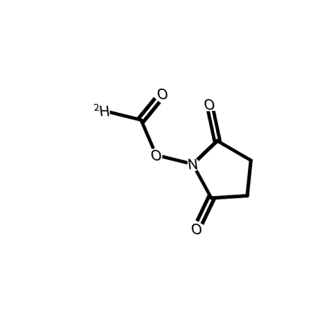 [2H]C(=O)ON1C(=O)CCC1=O